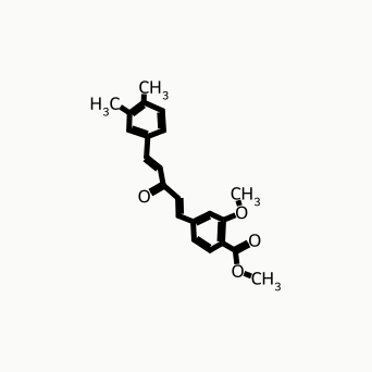 COC(=O)c1ccc(/C=C/C(=O)/C=C/c2ccc(C)c(C)c2)cc1OC